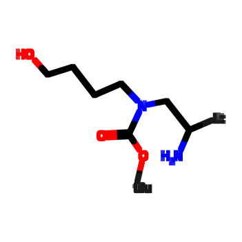 CCC(N)CN(CCCCO)C(=O)OC(C)(C)C